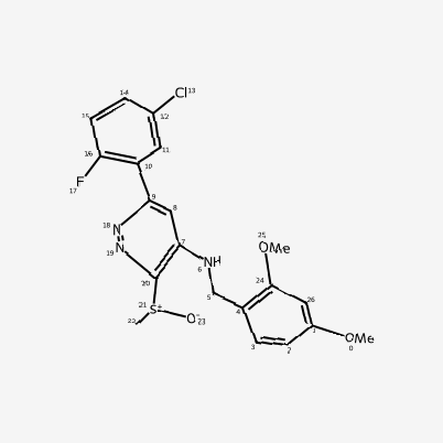 COc1ccc(CNc2cc(-c3cc(Cl)ccc3F)nnc2[S+](C)[O-])c(OC)c1